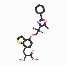 [2H]C([2H])(COc1ccc(CC(OC)C(=O)OC)c2sccc12)c1nc(-c2ccccc2)oc1C